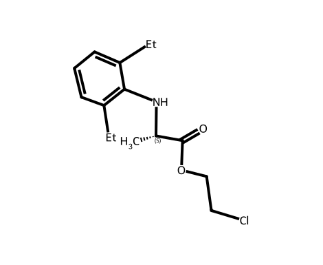 CCc1cccc(CC)c1N[C@@H](C)C(=O)OCCCl